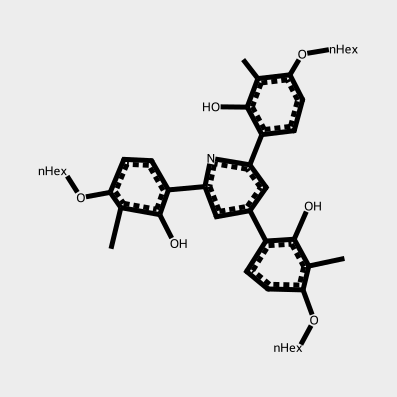 CCCCCCOc1ccc(-c2cc(-c3ccc(OCCCCCC)c(C)c3O)nc(-c3ccc(OCCCCCC)c(C)c3O)c2)c(O)c1C